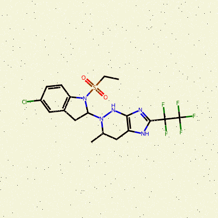 CCS(=O)(=O)N1c2ccc(Cl)cc2CC1N1Nc2nc(C(F)(F)C(F)(F)F)[nH]c2CC1C